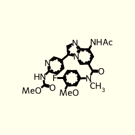 COC(=O)Nc1ccc(-c2cnc3c(NC(C)=O)cc(C(=O)N(C)c4ccc(F)c(OC)c4)cn23)cn1